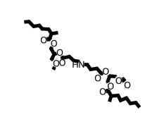 CCCCCCC(C)C(=O)OCC(COC)OC(=O)CCCNCCCC(=O)OC(COC=O)COC(=O)C(C)CCCCCC